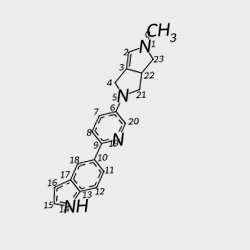 CN1C=C2CN(c3ccc(-c4ccc5[nH]ccc5c4)nc3)CC2C1